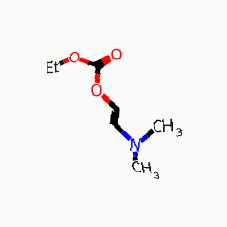 CCOC(=O)OC=CN(C)C